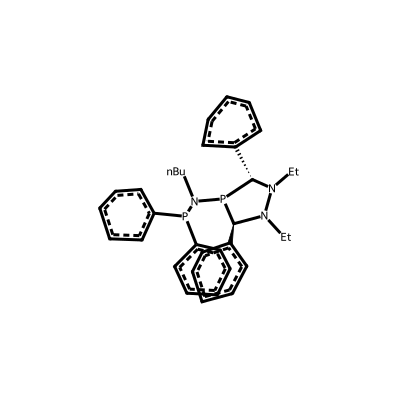 CCCCN(P(c1ccccc1)c1ccccc1)P1[C@H](c2ccccc2)N(CC)N(CC)[C@H]1c1ccccc1